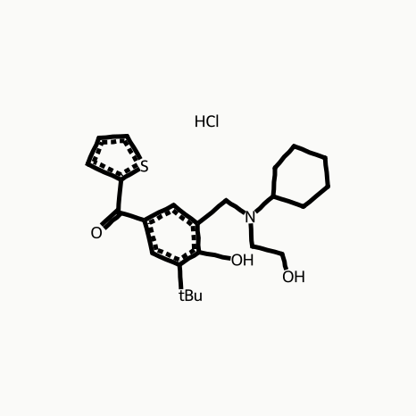 CC(C)(C)c1cc(C(=O)c2cccs2)cc(CN(CCO)C2CCCCC2)c1O.Cl